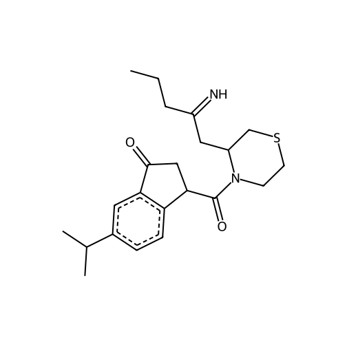 CCCC(=N)CC1CSCCN1C(=O)C1CC(=O)c2cc(C(C)C)ccc21